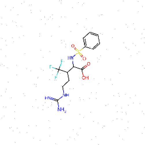 N=C(N)NCCC(C(NS(=O)(=O)c1ccccc1)C(=O)O)C(F)(F)F